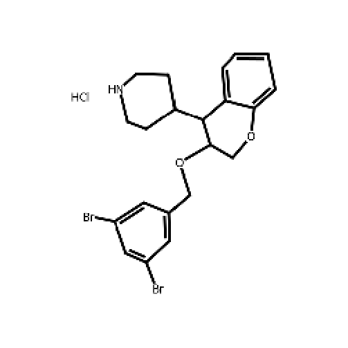 Brc1cc(Br)cc(COC2COc3ccccc3C2C2CCNCC2)c1.Cl